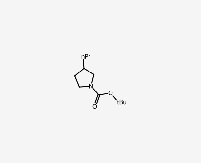 CCCC1CCN(C(=O)OC(C)(C)C)C1